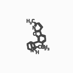 Cc1ccc2c(n1)oc1c(C3C4CCN(CC4)[C@@H]3C)c(C)ccc12